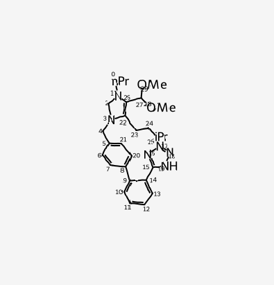 CCCN1CN(Cc2ccc(-c3ccccc3-c3nnn[nH]3)cc2)C(CCC(C)C)=C1C(OC)OC